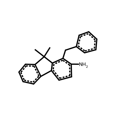 CC1(C)c2ccccc2-c2ccc(N)c(Cc3ccccc3)c21